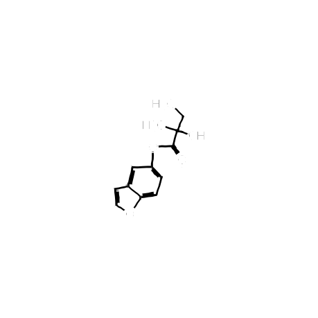 CCC(C)(C)C(=O)Oc1ccc2occc2c1